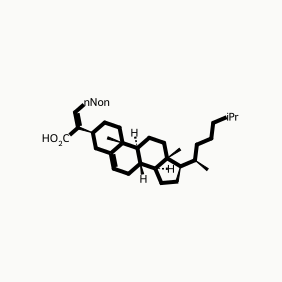 CCCCCCCCC/C=C(/C(=O)O)[C@H]1CC[C@@]2(C)C(=CC[C@H]3[C@@H]4CC[C@H]([C@H](C)CCCC(C)C)[C@@]4(C)CC[C@@H]32)C1